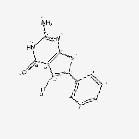 Nc1nc2sc(-c3ccccc3)c(Cl)c2c(=O)[nH]1